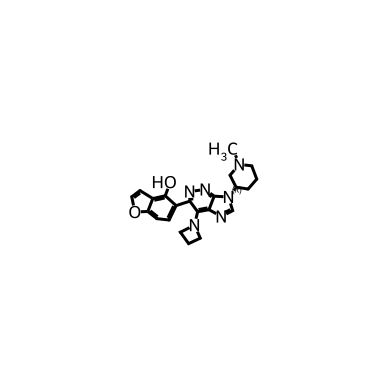 CN1CCC[C@@H](n2cnc3c(N4CCC4)c(-c4ccc5occc5c4O)nnc32)C1